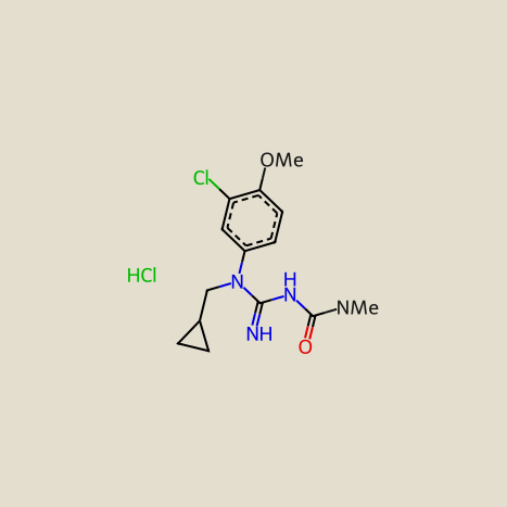 CNC(=O)NC(=N)N(CC1CC1)c1ccc(OC)c(Cl)c1.Cl